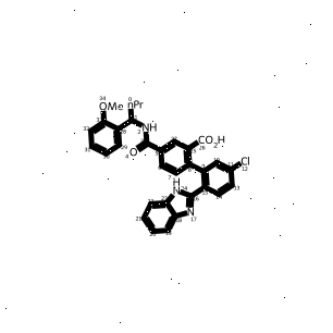 CCCC(NC(=O)c1ccc(-c2cc(Cl)ccc2-c2nc3ccccc3[nH]2)c(C(=O)O)c1)c1ccccc1OC